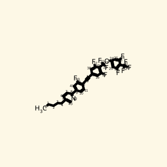 CCCCCc1ccc(-c2ccc(C#Cc3cc(F)c(C(F)(F)Oc4cc(F)c(C(F)(F)F)c(F)c4)c(F)c3)c(F)c2)nc1